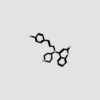 O=c1cc(N(CC=Cc2ccc(Cl)cc2)C2CCNCC2)c2ccccc2o1